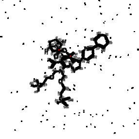 C=C(C)c1c([C@@H]2C[C@H]3CC[C@@H](C2)N3C(=O)OC(C)(C)C)nc2c(-c3ccc(-c4ccccc4)nc3)cnn2c1N(COCC[Si](C)(C)C)COCC[Si](C)(C)C